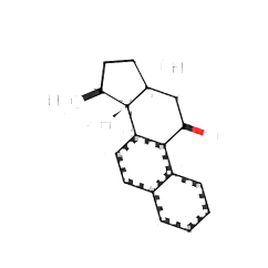 C=C1CC[C@@]2(C)CC(=O)c3c(ccc4ccccc34)[C@H]12